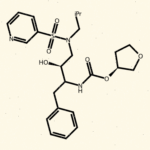 CC(C)CN(C[C@H](O)C(Cc1ccccc1)NC(=O)O[C@H]1CCOC1)S(=O)(=O)c1cccnc1